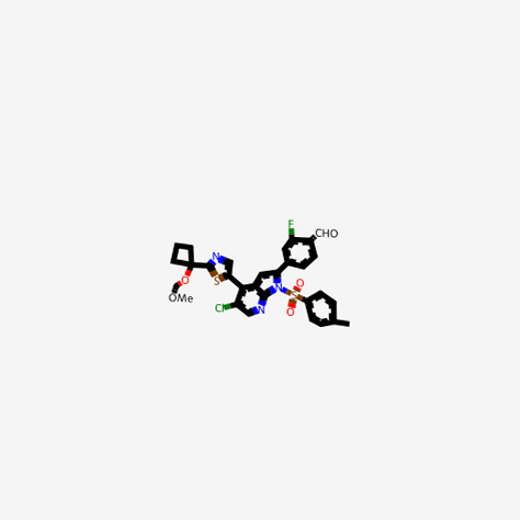 COCOC1(c2ncc(-c3c(Cl)cnc4c3cc(-c3ccc(C=O)c(F)c3)n4S(=O)(=O)c3ccc(C)cc3)s2)CCC1